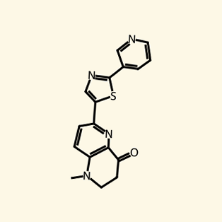 CN1CCC(=O)c2nc(-c3cnc(-c4cccnc4)s3)ccc21